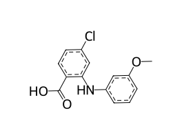 COc1cccc(Nc2cc(Cl)ccc2C(=O)O)c1